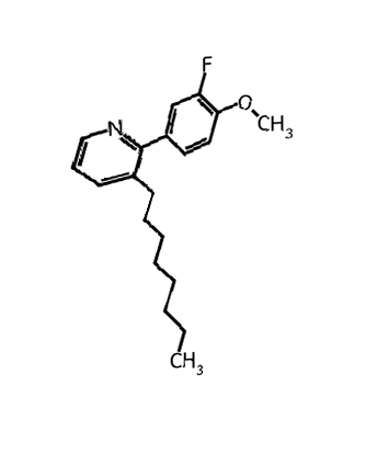 CCCCCCCCc1cccnc1-c1ccc(OC)c(F)c1